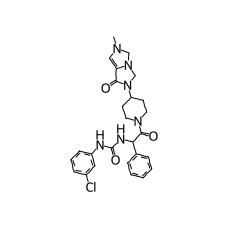 CN1C=C2C(=O)N(C3CCN(C(=O)C(NC(=O)Nc4cccc(Cl)c4)c4ccccc4)CC3)CN2C1